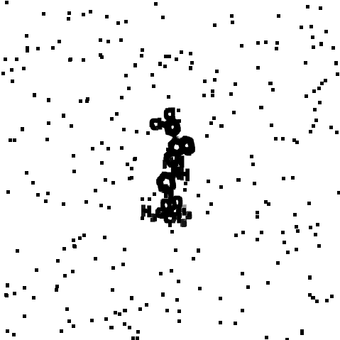 CC(C)(C)OC(=O)N1CCCC(Nc2ncc3c(n2)-c2ccccc2[C@H](c2ccc(Cl)c(Cl)c2)C3)C1